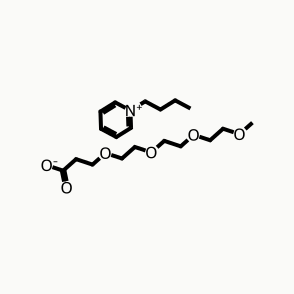 CCCC[n+]1ccccc1.COCCOCCOCCOCCC(=O)[O-]